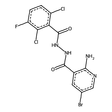 Nc1ncc(Br)cc1C(=O)NNC(=O)c1c(Cl)ccc(F)c1Cl